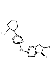 CC1CCCCN1c1ccc(Nc2ccc3c(c2)CN(C)C3=O)cc1